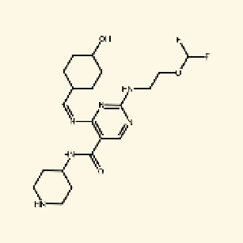 O=C(NC1CCNCC1)c1cnc(NCCOC(F)F)nc1/N=C\C1CCC(O)CC1